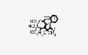 CC1(C)C(=O)N(C2CCCCC2)C(C(C(=O)O)C(=O)O)=C1C(C(=O)O)C(=O)O